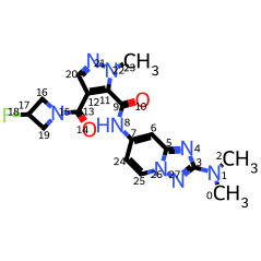 CN(C)c1nc2cc(NC(=O)c3c(C(=O)N4CC(F)C4)cnn3C)ccn2n1